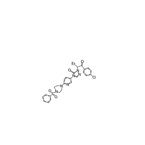 CCC(C(=O)c1ccc(Cl)cc1)n1ncn(-c2ccc(N3CCN(S(=O)(=O)c4ccccc4)CC3)nc2)c1=O